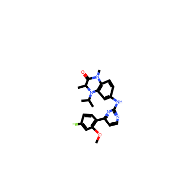 COc1cc(F)ccc1-c1ccnc(Nc2ccc3c(c2)N(C(C)C)C(C)C(=O)N3C)n1